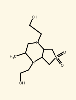 CC1CN(CCO)C2CS(=O)(=O)CC2N1CCO